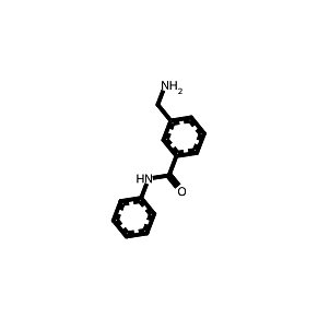 NCc1cccc(C(=O)Nc2ccccc2)c1